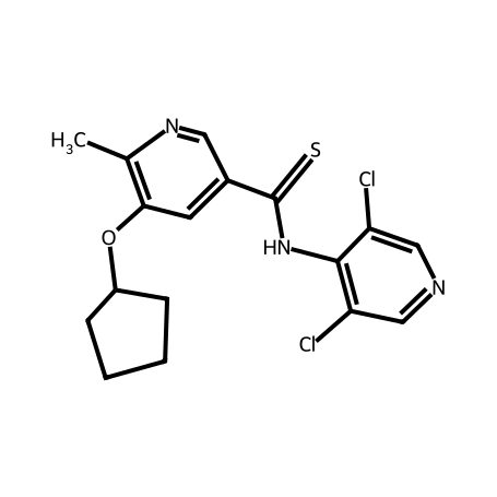 Cc1ncc(C(=S)Nc2c(Cl)cncc2Cl)cc1OC1CCCC1